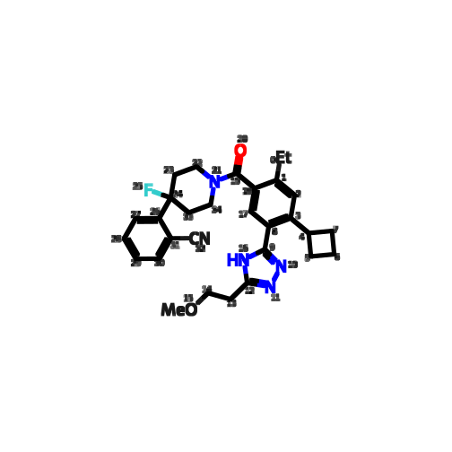 CCc1cc(C2CCC2)c(-c2nnc(CCOC)[nH]2)cc1C(=O)N1CCC(F)(c2ccccc2C#N)CC1